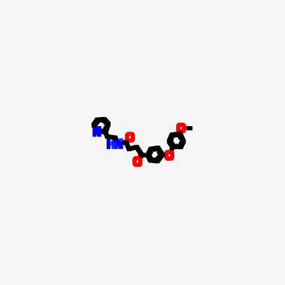 COc1ccc(Oc2ccc(C(=O)CCC(=O)NCCc3ccccn3)cc2)cc1